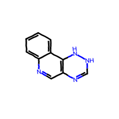 C1=Nc2cnc3ccccc3c2NN1